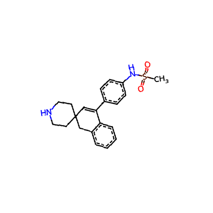 CS(=O)(=O)Nc1ccc(C2=CC3(CCNCC3)Cc3ccccc32)cc1